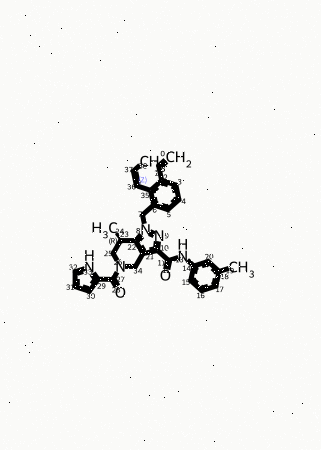 C=Cc1cccc(Cn2nc(C(=O)Nc3cccc(C)c3)c3c2[C@H](C)CN(C(=O)c2ccc[nH]2)C3)c1/C=C\C